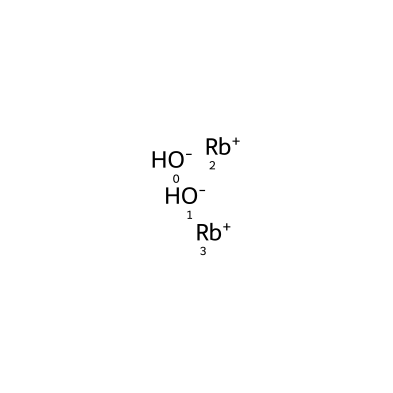 [OH-].[OH-].[Rb+].[Rb+]